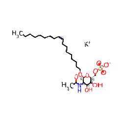 CCCCCCCC/C=C\CCCCCCCCO[C@H]1O[C@H](COS(=O)(=O)[O-])[C@@H](O)[C@H](O)[C@H]1NC(C)=O.[K+]